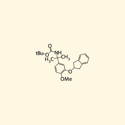 COc1ccc(C(C)(C)NC(=O)OC(C)(C)C)cc1OC1Cc2ccccc2C1